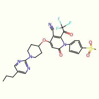 CCCc1cnc(N2CCC(Oc3cc(=O)n(-c4ccc(S(C)(=O)=O)cc4)c(C(=O)C(F)(F)F)c3C#N)CC2)nc1